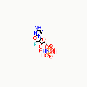 Nc1ccn([C@@H]2O[C@H](COP(=O)(O)NP(=O)(O)O)C(O)/C2=C\F)c(=O)n1